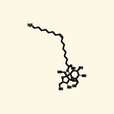 CCCCCCCC/C=C\CCCCCCCC(=O)O[C@@]1([C@@]2(CO)O[C@H](CO)[C@@H](O)[C@@H]2O)O[C@H](CO)[C@@H](O)[C@H](O)[C@H]1O